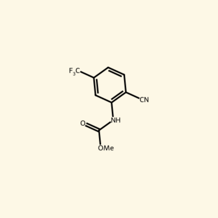 COC(=O)Nc1cc(C(F)(F)F)ccc1C#N